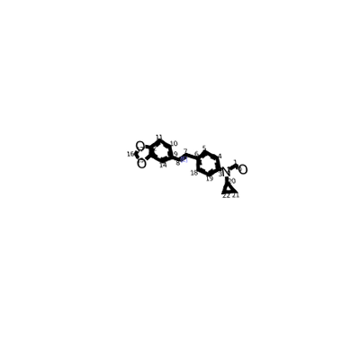 O=CN(c1ccc(/C=C/c2ccc3c(c2)OCO3)cc1)C1CC1